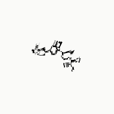 CCNC(=O)N1CCC(Oc2ccc(-c3ccn4ccnc4c3)cc2)CC1.Cl